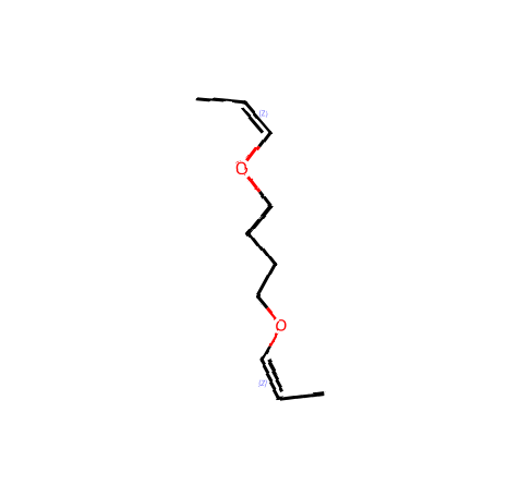 C/C=C\OCCCCO/C=C\C